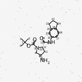 CC(C)(C)OC(=O)N1C[C@@H](N)C[C@H]1C(=O)Nc1ccc2c(c1)CCC2